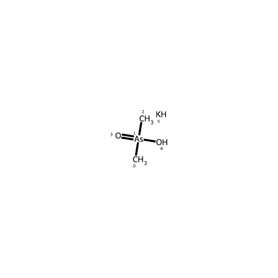 C[As](C)(=O)O.[KH]